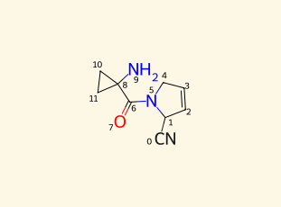 N#CC1C=CCN1C(=O)C1(N)CC1